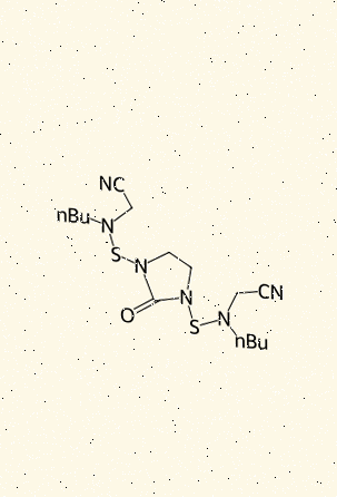 CCCCN(CC#N)SN1CCN(SN(CC#N)CCCC)C1=O